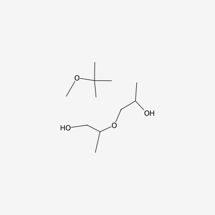 CC(O)COC(C)CO.COC(C)(C)C